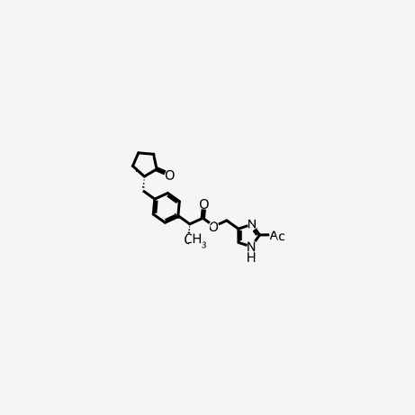 CC(=O)c1nc(COC(=O)[C@H](C)c2ccc(C[C@@H]3CCCC3=O)cc2)c[nH]1